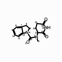 CN(C(=O)N1CCc2ccccc21)C1CCC(=O)NC1=O